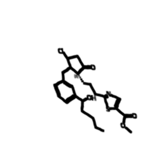 CCCCC(O)c1cccc(CC2C(Cl)CC(=O)[C@@H]2CCCc2ncc(C(=O)OC)s2)c1